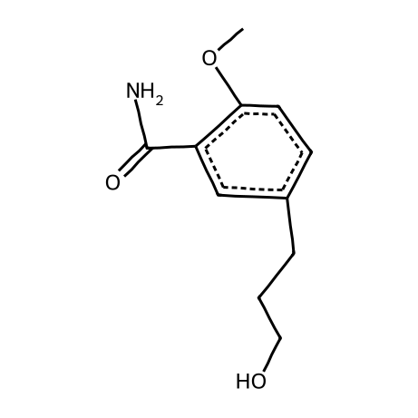 COc1ccc(CCCO)cc1C(N)=O